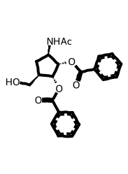 CC(=O)N[C@@H]1C[C@H](CO)[C@@H](OC(=O)c2ccccc2)[C@H]1OC(=O)c1ccccc1